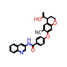 C=C(O)C1CCOc2cc(Oc3ccc(C(=O)Nc4cnc5ccccc5c4)cc3)c(C#N)cc21